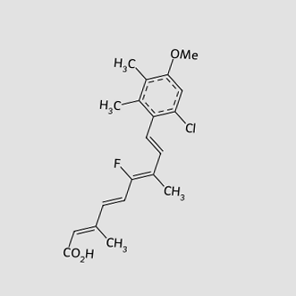 COc1cc(Cl)c(C=CC(C)=C(F)C=C/C(C)=C/C(=O)O)c(C)c1C